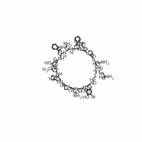 CCCC[C@H]1C(=O)N2CCC[C@@H]2C(=O)N[C@@H](CCN)C(=O)N[C@H](C(=O)NCC(N)=O)CSCC(=O)N[C@@H](Cc2ccc(O)c(Br)c2)C(=O)N(C)[C@@H](C)C(=O)N[C@@H](CC(N)=O)C(=O)N2CCC[C@H]2C(=O)N[C@@H](Cc2cnc[nH]2)C(=O)N[C@@H](CC(C)C)C(=O)N2C[C@H](O)C[C@H]2C(=O)N[C@@H](Cc2c[nH]c3ccccc23)C(=O)N[C@@H](CCN)C(=O)N[C@@H](Cc2c[nH]c3ccccc23)C(=O)N1C